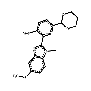 CSc1ccc(C2OCCCO2)nc1-c1nc2cc(SC(F)(F)F)ccc2n1C